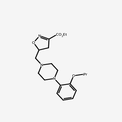 CCOC(=O)C1=NOC(CN2CCN(c3ccccc3OC(C)C)CC2)C1